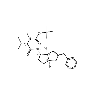 CC(C)[C@@H](C(=O)N[C@H]1CC[C@@H]2CN(Cc3ccccc3)C[C@@H]21)N(C)C(=O)OC(C)(C)C